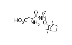 CC12CCC(C1)C(C)(C)C2OCC1(NC(=O)[C@@H](N)CC(=O)O)CC1